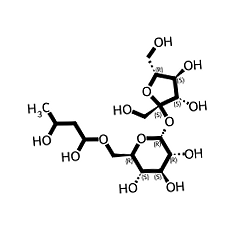 CC(O)CC(O)OC[C@H]1O[C@H](O[C@]2(CO)O[C@H](CO)[C@@H](O)[C@@H]2O)[C@H](O)[C@@H](O)[C@@H]1O